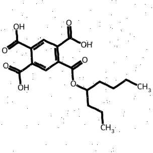 CCCCC(CCC)OC(=O)c1cc(C(=O)O)c(C(=O)O)cc1C(=O)O